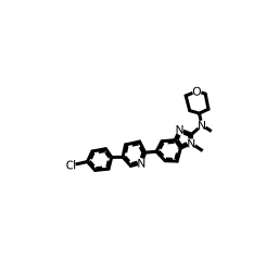 CN(c1nc2cc(-c3ccc(-c4ccc(Cl)cc4)cn3)ccc2n1C)C1CCOCC1